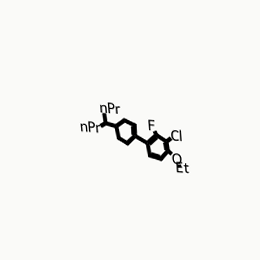 CCCC(CCC)C1CC=C(c2ccc(OCC)c(Cl)c2F)CC1